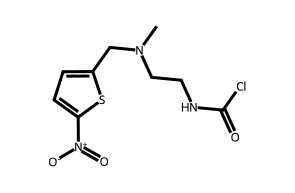 CN(CCNC(=O)Cl)Cc1ccc([N+](=O)[O-])s1